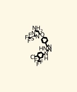 Nc1cc(Oc2ccc(-c3nnc(Nc4ccc(Cl)c(C(F)(F)F)c4)[nH]3)cc2)nc(SC(F)(F)F)n1